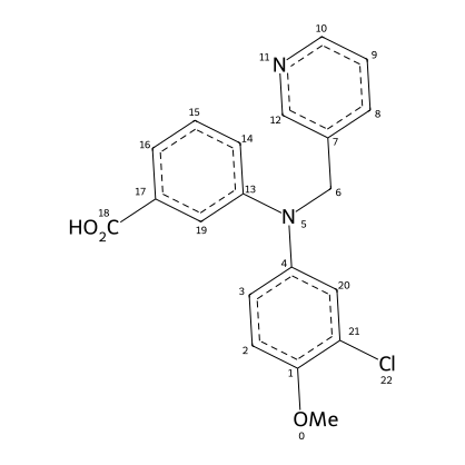 COc1ccc(N(Cc2cccnc2)c2cccc(C(=O)O)c2)cc1Cl